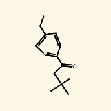 CCc1ccc(C(=O)CC(C)(C)C)nc1